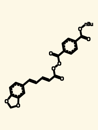 CCCCOC(=O)c1ccc(C(=O)OOC(=O)C=CC=Cc2ccc3c(c2)OCO3)cc1